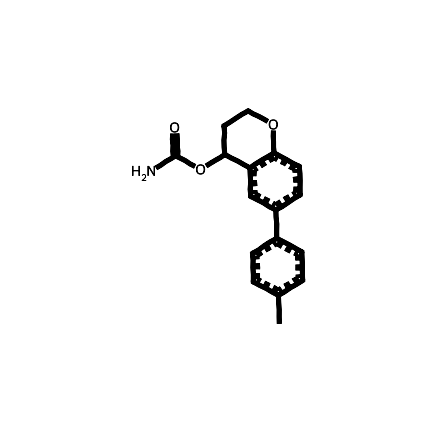 Cc1ccc(-c2ccc3c(c2)C(OC(N)=O)CCO3)cc1